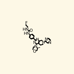 C[C@H]1COCCN1c1nc(-c2ccc(NC(=O)NCCF)cc2)nc2c1CCN(c1cnccn1)C2